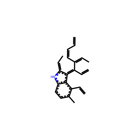 C=C\C=C/C(=C/C)C(/C=C)=c1\c(=C/C)[nH]c2ccc(C)c(C=C)c12